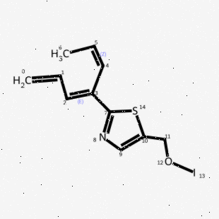 C=C/C=C(\C=C/C)c1ncc(COI)s1